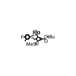 CSOC1C(CSc2ccc(F)c(C)c2)C(C(=O)OC(C)(C)C)C2C(C(=O)OC(C)(C)C)C12